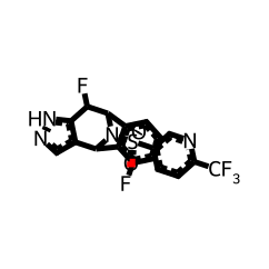 O=S(=O)(c1ccc(C(F)(F)F)nc1)N1C2c3cn[nH]c3C(F)C1c1cccc(F)c12